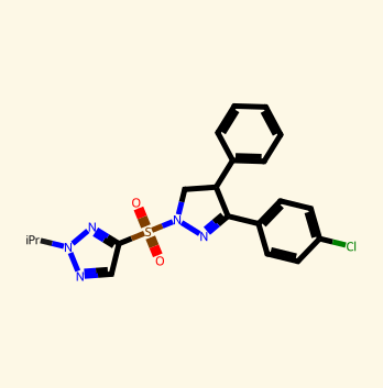 CC(C)n1ncc(S(=O)(=O)N2CC(c3ccccc3)C(c3ccc(Cl)cc3)=N2)n1